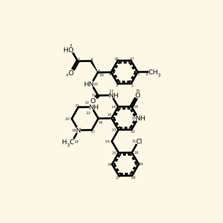 Cc1ccc([C@H](CC(=O)O)NC(=O)Nc2c(C3CN(C)CCN3)c(Cc3ccccc3Cl)c[nH]c2=O)cc1